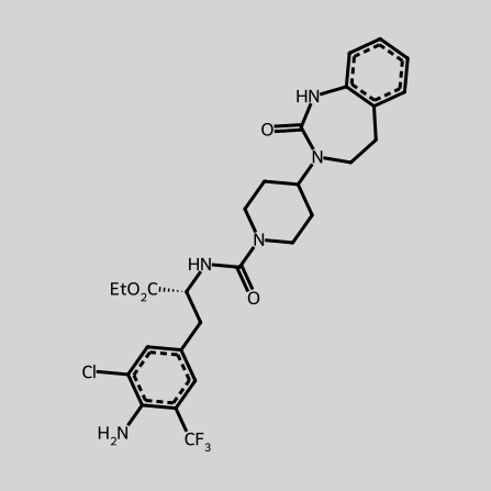 CCOC(=O)[C@@H](Cc1cc(Cl)c(N)c(C(F)(F)F)c1)NC(=O)N1CCC(N2CCc3ccccc3NC2=O)CC1